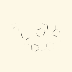 CS(=O)(=O)NCC=CC(=O)Nc1ccc(CN2CCC(Nc3ncc(Cl)c(-c4c[nH]c5ccccc45)n3)CC2)cc1